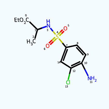 CCOC(=O)C(C)NS(=O)(=O)c1ccc(N)c(Cl)c1